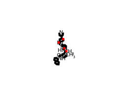 CC(Nc1nccc(-n2cnc3cc(-c4ccncc4)ccc32)n1)C1CN(C(=O)Nc2cccc3ccccc23)CCN1C